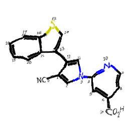 N#Cc1cn(-c2cc(C(=O)O)ccn2)cc1-c1csc2ccccc12